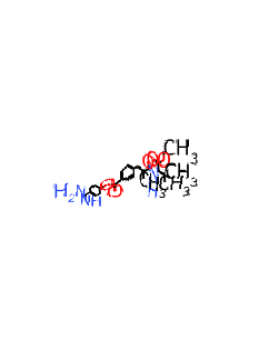 CCOC(=O)[C@@H](NC(=O)/C(C)=C/c1ccc(C(=O)Oc2ccc(C(=N)N)cc2)cc1)C(C)C